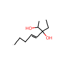 [CH2]CCC=CC(O)(CC)C(C)O